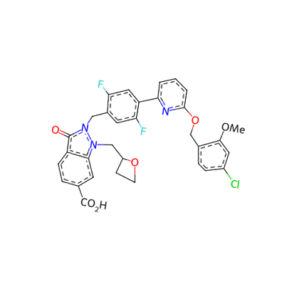 COc1cc(Cl)ccc1COc1cccc(-c2cc(F)c(Cn3c(=O)c4ccc(C(=O)O)cc4n3CC3CCO3)cc2F)n1